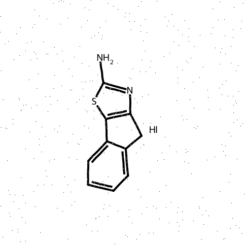 I.Nc1nc2c(s1)-c1ccccc1C2